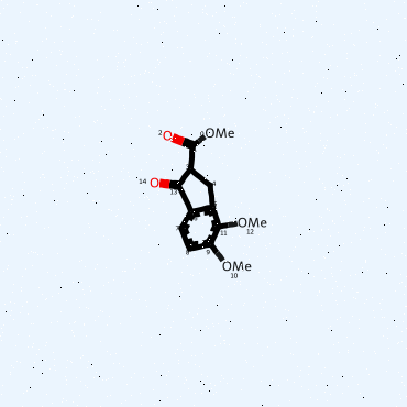 COC(=O)C1Cc2c(ccc(OC)c2OC)C1=O